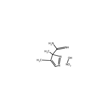 CC1=CN=NC1(C)C(=N)N.O=[N+]([O-])O